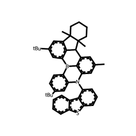 Cc1cc2c3c(c1)N(c1cccc4sc5ccccc5c14)c1cc(C(C)(C)C)ccc1B3c1cc(C(C)(C)C)cc3c1C2C1(C)CCCCC31C